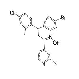 Cc1cc(C(CC(c2ccc(Br)cc2)c2ccc(Cl)cc2C)=NO)ccn1